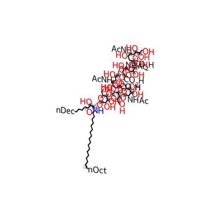 CCCCCCCC/C=C\CCCCCCCCCCCCCCCC(=O)N[C@@H](CO[C@@H]1OC(CO)[C@@H](O[C@@H]2OC(CO)[C@H](O[C@@H]3OC(CO)[C@H](O)[C@H](O)C3NC(C)=O)[C@H](O[C@]3(C(=O)O)CC(O)[C@@H](NC(C)=O)C([C@H](O)[C@@H](CO)O[C@]4(C(=O)O)CC(O)[C@@H](NC(C)=O)C([C@H](O)[C@@H](CO)O[C@]5(C(=O)O)CC(O)[C@@H](NC(C)=O)C([C@H](O)[C@H](O)CO)O5)O4)O3)C2O)[C@H](O)C1O)[C@H](O)/C=C/CCCCCCCCCCCCC